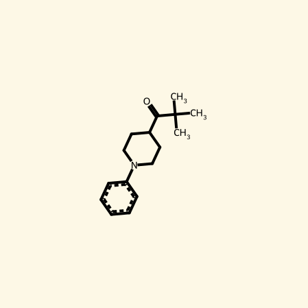 CC(C)(C)C(=O)C1CCN(c2ccccc2)CC1